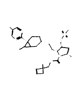 CC1C2C[C@@H](OC[C@H]3[C@@H](NS(C)(=O)=O)C[C@@H](C)N3C(=O)OCC3(F)CCC3)CC[C@@]12c1ncc(F)cn1